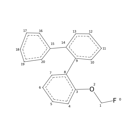 FCOc1ccccc1-c1ccccc1-c1ccccc1